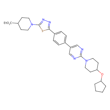 CCOC(=O)C1CCN(c2nnc(-c3ccc(-c4cnc(N5CCC(OC6CCCC6)CC5)nc4)cc3)s2)CC1